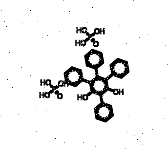 O=P(O)(O)O.O=P(O)(O)O.Oc1c(-c2ccccc2)c(O)c(-c2ccccc2)c(-c2ccccc2)c1-c1ccccc1